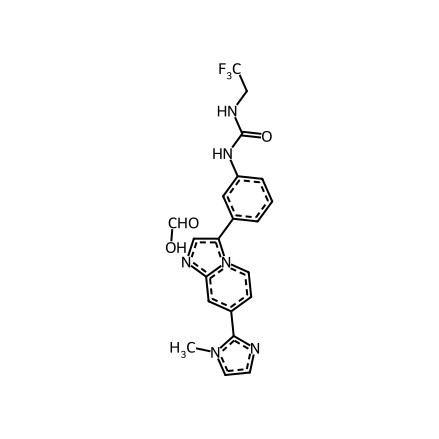 Cn1ccnc1-c1ccn2c(-c3cccc(NC(=O)NCC(F)(F)F)c3)cnc2c1.O=CO